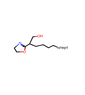 CCCCCCCCCCCC(CO)C1=NCCO1